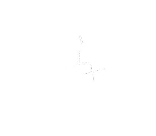 C=CCC(C)O[N+](C)(C)[O-]